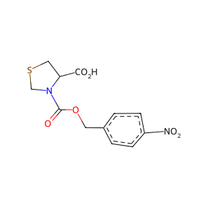 O=C(O)C1CSCN1C(=O)OCc1ccc([N+](=O)[O-])cc1